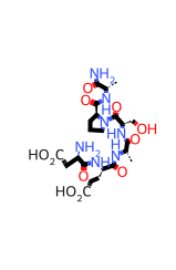 C[C@H](NC(=O)[C@@H]1CCCN1C(=O)[C@H](CO)NC(=O)[C@H](C)NC(=O)[C@H](CCC(=O)O)NC(=O)[C@@H](N)CC(=O)O)C(N)=O